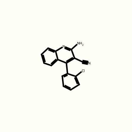 N#Cc1c(N)nc2ccccc2c1-c1ccccc1Cl